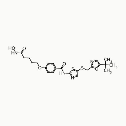 CC(C)(C)c1cnc(CSc2cnc(NC(=O)c3ccc(OCCCCC(=O)NO)cc3)s2)o1